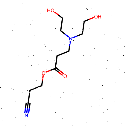 N#CCCOC(=O)CCN(CCO)CCO